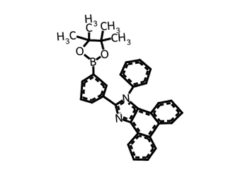 CC1(C)OB(c2cccc(-c3nc4c5ccccc5c5ccccc5c4n3-c3ccccc3)c2)OC1(C)C